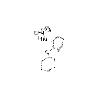 CS(=O)(=O)Nc1cccnc1OC1CCCCC1